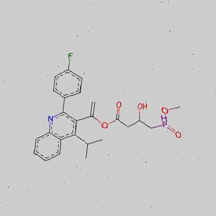 C=C(OC(=O)CC(O)C[PH](=O)OC)c1c(-c2ccc(F)cc2)nc2ccccc2c1C(C)C